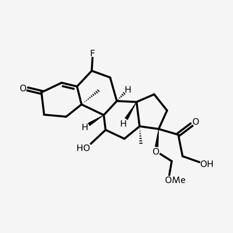 COCO[C@]1(C(=O)CO)CC[C@H]2[C@@H]3CC(F)C4=CC(=O)CC[C@]4(C)[C@H]3C(O)C[C@@]21C